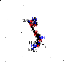 CCN(CC)CCNC(=O)c1c(C)[nH]c(/C=C2\C(=O)Nc3ccc(OC(=O)CCCCCC(=O)O[C@@H](CNC(C)(C)C)COc4nsnc4N4CCOCC4)cc32)c1C